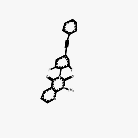 Cn1c(=O)n(-c2c(F)cc(C#Cc3ccccc3)cc2F)c(=O)c2cccnc21